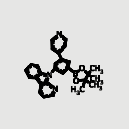 CC1(C)OB(c2cc(-c3ccncc3)cc(-n3c4ccccc4c4cccnc43)c2)OC1(C)C